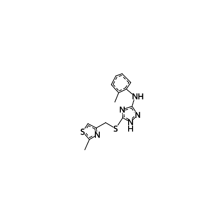 Cc1nc(CSc2nc(Nc3ccccc3C)n[nH]2)cs1